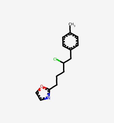 Cc1ccc(CC(Cl)CCCc2ncco2)cc1